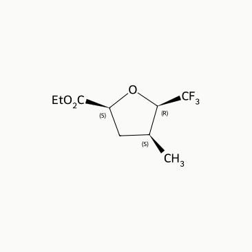 CCOC(=O)[C@@H]1C[C@H](C)[C@H](C(F)(F)F)O1